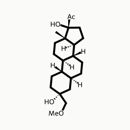 COC[C@@]1(O)CC[C@H]2[C@@H](CC[C@@H]3[C@@H]2CC[C@@]2(C)[C@H]3CC[C@]2(O)C(C)=O)C1